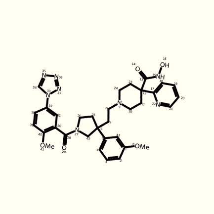 COc1cccc(C2(CCN3CCC(C(=O)NO)(c4ccccn4)CC3)CCN(C(=O)c3cc(-n4cnnn4)ccc3OC)C2)c1